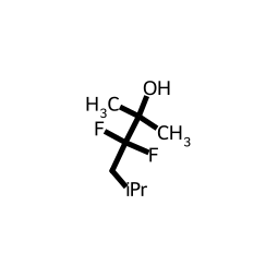 CC(C)CC(F)(F)C(C)(C)O